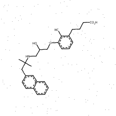 CC(C)(Cc1ccc2ccccc2c1)NCC(O)COc1cccc(CCCC(=O)O)c1C#N